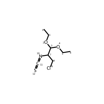 CCOC(OCC)C(CCl)N=C=S